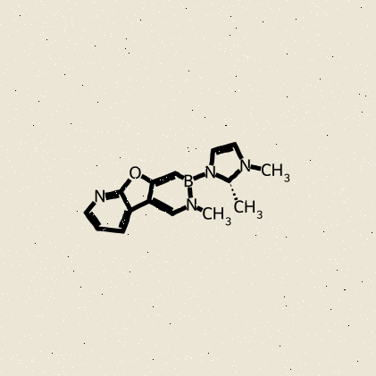 C[C@H]1N(C)C=CN1B1C=c2oc3ncccc3c2=CN1C